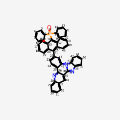 O=P(c1ccccc1)(c1ccccc1)c1c2ccccc2c(-c2ccc3c4nc5ccccc5cc4c4nc5ccccc5n4c3c2)c2ccccc12